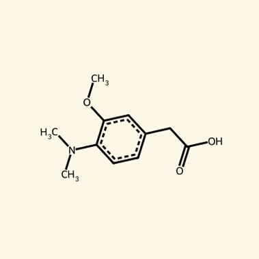 COc1cc(CC(=O)O)ccc1N(C)C